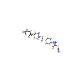 N#CCC(=O)N[C@H]1CC[C@H](CCN2CC=C(c3ccc(F)cc3)CC2)CC1